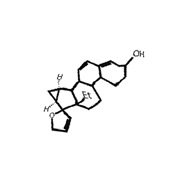 CCC12CCC3C4CCC(O)C=C4C=CC3C1[C@@H]1C[C@@H]1C21C=CCO1